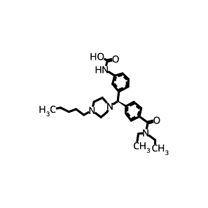 CCCCCN1CCN([C@H](c2ccc(C(=O)N(CC)CC)cc2)c2cccc(NC(=O)O)c2)CC1